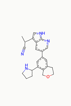 CC(C#N)c1c[nH]c2ncc(-c3cc4c(c(C5CCCN5)c3)COCC4)cc12